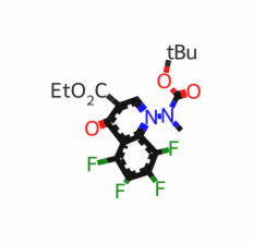 CCOC(=O)c1cn(N(C)C(=O)OC(C)(C)C)c2c(F)c(F)c(F)c(F)c2c1=O